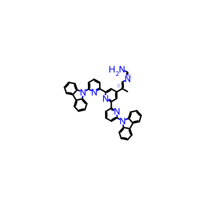 C/C(=C\N=C/N)c1cc(-c2cccc(-n3c4ccccc4c4ccccc43)n2)nc(-c2cccc(-n3c4ccccc4c4ccccc43)n2)c1